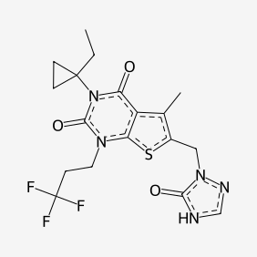 CCC1(n2c(=O)c3c(C)c(Cn4nc[nH]c4=O)sc3n(CCC(F)(F)F)c2=O)CC1